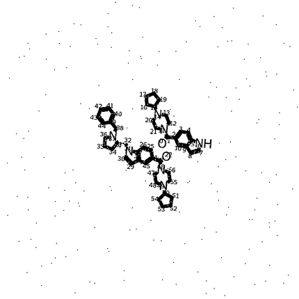 O=C(c1ccc2[nH]ccc2c1)N1CCN(C2CCCC2)CC1.O=C(c1ccc2c(ccn2C[C@@H]2CCCN2Cc2ccccc2)c1)N1CCN(C2CCCC2)CC1